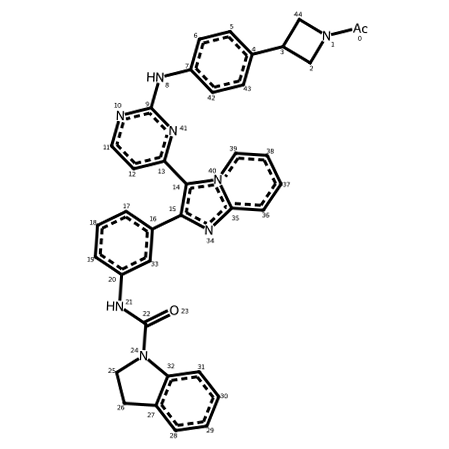 CC(=O)N1CC(c2ccc(Nc3nccc(-c4c(-c5cccc(NC(=O)N6CCc7ccccc76)c5)nc5ccccn45)n3)cc2)C1